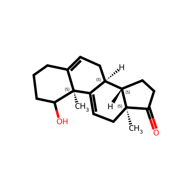 C[C@]12C(=CC[C@@H]3C1=CC[C@]1(C)C(=O)CC[C@@H]31)CCCC2O